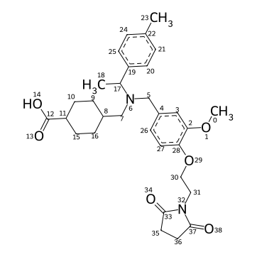 COc1cc(CN(CC2CCC(C(=O)O)CC2)C(C)c2ccc(C)cc2)ccc1OCCN1C(=O)CCC1=O